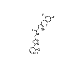 O=C(NCc1nnc(-c2ccc[nH]c2=O)s1)c1cc(Cc2c(F)cc(F)cc2F)c[nH]1